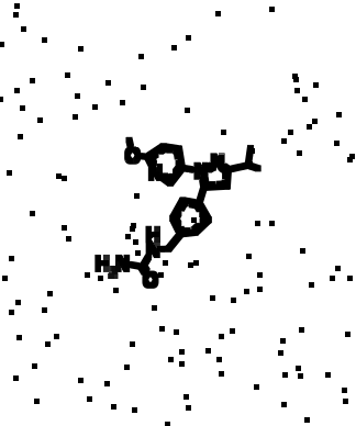 COc1ccc(-n2nc(C(C)C)cc2-c2ccc(CNC(N)=O)cc2)cn1